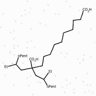 CCCCCC(CC)CC(CCCCCCCCCC(=O)O)(CC(CC)CCCCC)C(=O)O